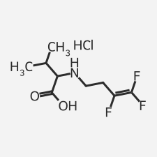 CC(C)C(NCCC(F)=C(F)F)C(=O)O.Cl